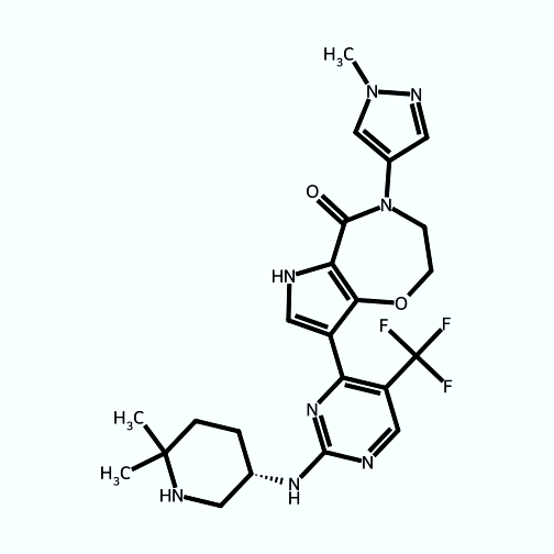 Cn1cc(N2CCOc3c(-c4nc(N[C@H]5CCC(C)(C)NC5)ncc4C(F)(F)F)c[nH]c3C2=O)cn1